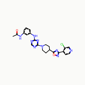 CC(=O)Nc1cccc(Nc2ncnc(N3CCC(c4nc(-c5ccncc5Cl)no4)CC3)n2)c1